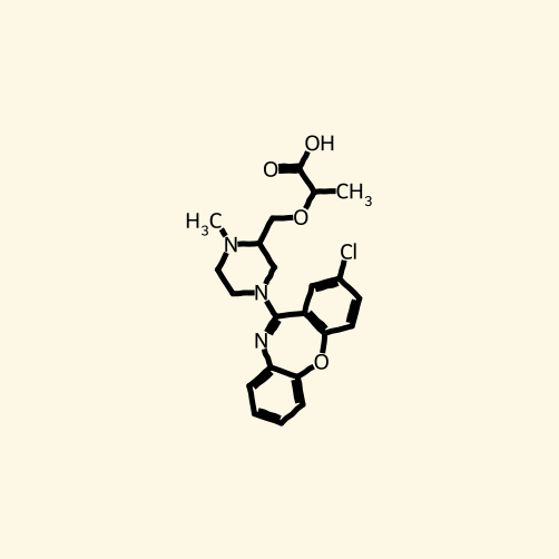 CC(OCC1CN(C2=Nc3ccccc3Oc3ccc(Cl)cc32)CCN1C)C(=O)O